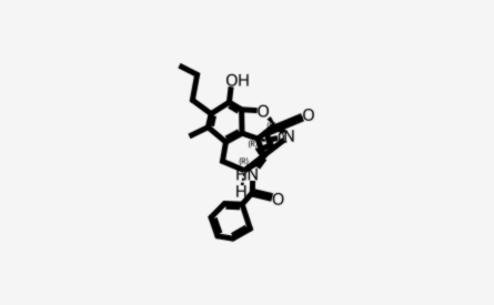 CCCc1c(C)c2c3c(c1O)O[C@@]14C(=O)CCC5(NC(=O)c6ccccc6)[C@@H](C2)N1CC[C@@]354